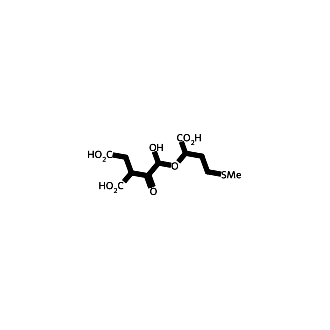 CSCCC(OC(O)C(=O)C(CC(=O)O)C(=O)O)C(=O)O